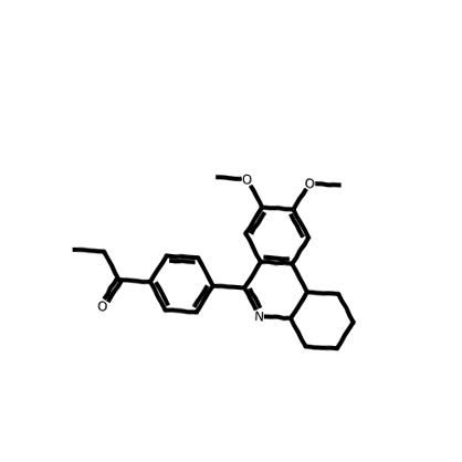 CCC(=O)c1ccc(C2=NC3CCCCC3c3cc(OC)c(OC)cc32)cc1